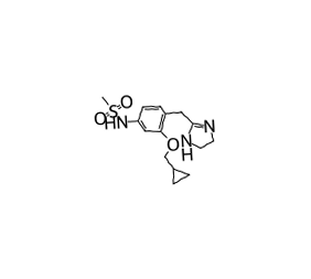 CS(=O)(=O)Nc1ccc(CC2=NCCN2)c(OCC2CC2)c1